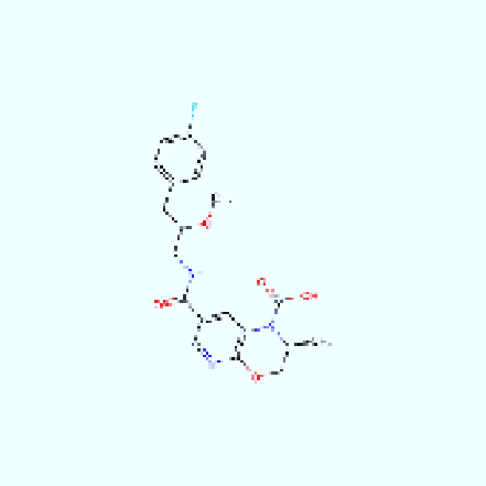 COC(CNC(=O)c1cnc2c(c1)N(C(=O)O)[C@@H](C)CO2)Cc1ccc(F)cc1